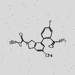 CC(C)(C)OC(=O)N1Cc2cc(C#N)cc(-c3ccc(F)cc3C(N)=O)c2C1